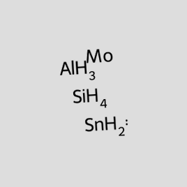 [AlH3].[Mo].[SiH4].[SnH2]